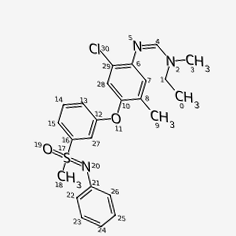 CCN(C)/C=N\c1cc(C)c(Oc2cccc(S(C)(=O)=Nc3ccccc3)c2)cc1Cl